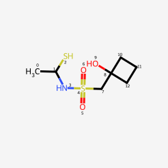 CC(S)NS(=O)(=O)CC1(O)CCC1